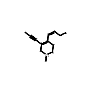 CC#CC1=C(/C=C\CC)CCN(C)C1